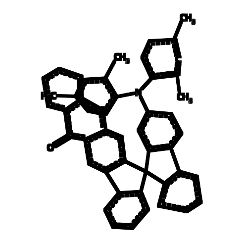 Cc1ccc(N(c2ccc3c(c2)C2(c4ccccc4-3)c3ccccc3-c3cc4c(=O)c5ccccc5oc4cc32)c2ccc(C)cc2C)c(C)c1